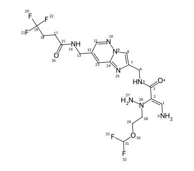 N/C=C(/C(=O)NCc1cn2ncc(CNC(=O)CCC(F)(F)F)cc2n1)N(N)CCOC(F)F